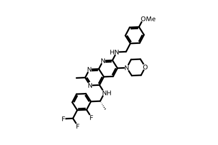 COc1ccc(CNc2nc3nc(C)nc(N[C@H](C)c4cccc(C(F)F)c4F)c3cc2N2CCOCC2)cc1